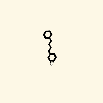 C1CCC(CCCCC2CCC3OC3C2)CC1